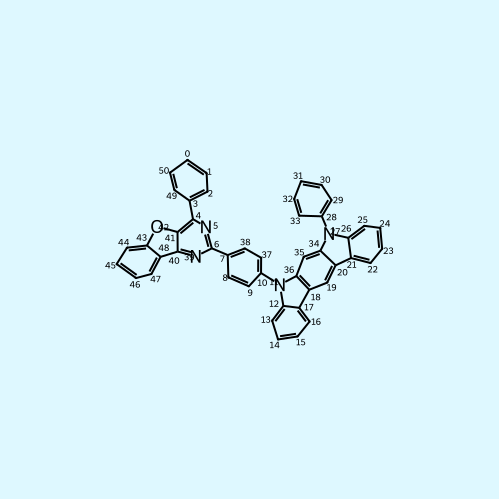 c1ccc(-c2nc(-c3ccc(-n4c5ccccc5c5cc6c7ccccc7n(-c7ccccc7)c6cc54)cc3)nc3c2oc2ccccc23)cc1